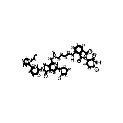 CCn1cnnc1-c1cccc(N2Cc3c(cc(N4CCC[C@H]4C)nc3CN(C)CCCCNc3cccc4c3C(=O)N(C3CCC(=O)NC3=O)C4=O)C2=O)n1